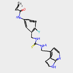 C=CC(=O)Nc1ccc(F)c(CNC(=S)NCc2ccnc3[nH]ccc23)c1